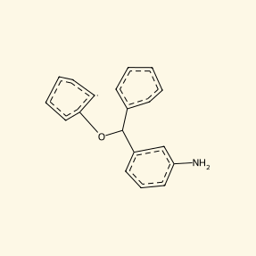 Nc1cccc(C(Oc2[c]cccc2)c2ccccc2)c1